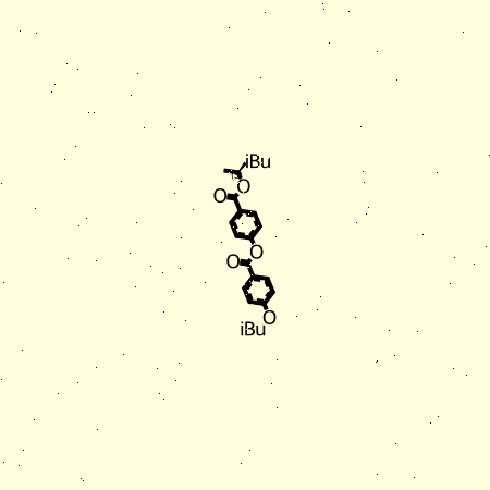 CCC(C)Oc1ccc(C(=O)Oc2ccc(C(=O)O[C@@H](C)C(C)CC)cc2)cc1